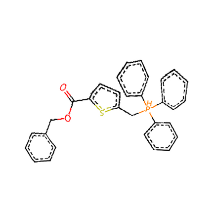 O=C(OCc1ccccc1)c1ccc(C[PH](c2ccccc2)(c2ccccc2)c2ccccc2)s1